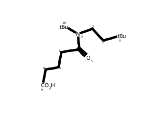 CC(C)(C)CCN(C(=O)CCCC(=O)O)C(C)(C)C